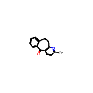 CC(C)c1ccc2c(n1)CCc1ccccc1C2=O